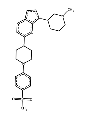 CN1CCCC(n2ccc3ccc(N4CCN(c5ccc(S(C)(=O)=O)cc5)CC4)nc32)C1